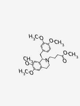 COC(=O)CCCN1CCc2cc(OC)c(OC)cc2[C@H]1Cc1ccc(OC)c(OC)c1